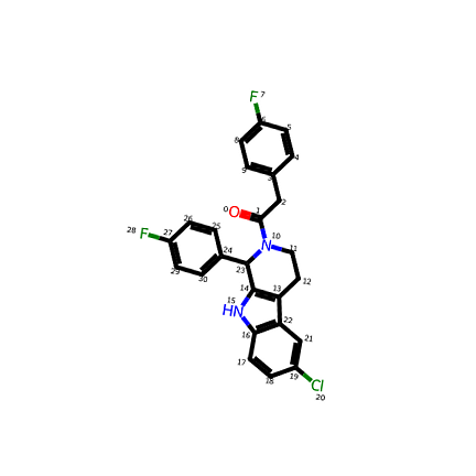 O=C(Cc1ccc(F)cc1)N1CCc2c([nH]c3ccc(Cl)cc23)C1c1ccc(F)cc1